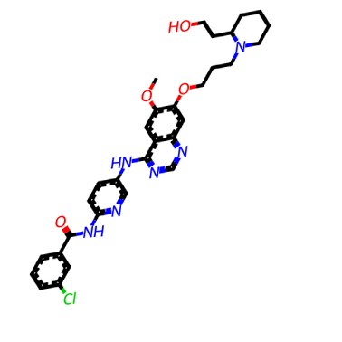 COc1cc2c(Nc3ccc(NC(=O)c4cccc(Cl)c4)nc3)ncnc2cc1OCCCN1CCCCC1CCO